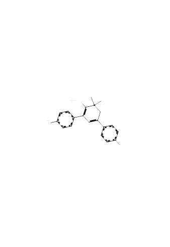 CC1(C)CC(c2ccc(F)cc2)=CC(c2ccc(F)cc2)=C1C=O